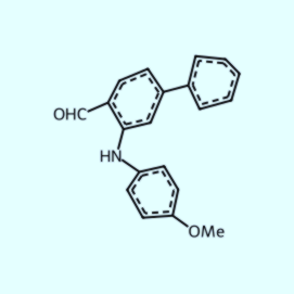 COc1ccc(Nc2cc(-c3ccccc3)ccc2C=O)cc1